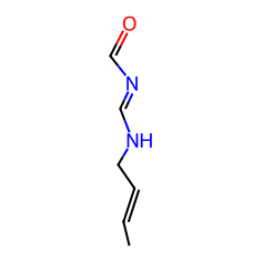 C/C=C/CN/C=N/C=O